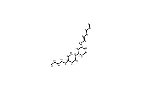 CCCCC=CO[C@@H]1CCC[C@@H]([C@H]2CC[C@H](CCCCC)CC2)C1